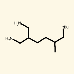 CC(CCC(CN)CN)CC(C)(C)C